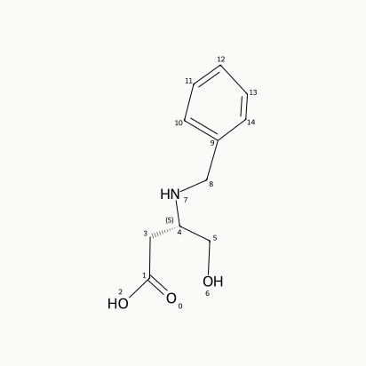 O=C(O)C[C@@H](CO)NCc1ccccc1